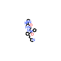 Cc1nn2cccnc2c1C(=O)NC(C)c1nc2cccc(/C=C/c3cccnc3)c2c(=O)n1-c1ccccc1